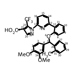 COc1ccc(C(Oc2ccccc2-c2cccc(-n3ncc(C(=O)O)c3C(F)(F)F)n2)c2ccccc2C)cc1OC